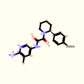 CNc1ccc([C@@H]2CCCCN2C(=O)C(=O)Nc2cnc(N)c(C)c2)cc1